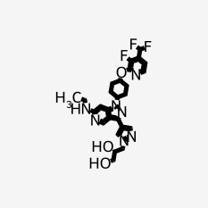 CCNc1cc2c(cn1)c(-c1cnn(C[C@@H](O)CO)c1)nn2C1CCC(Oc2nccc(C(F)F)c2F)CC1